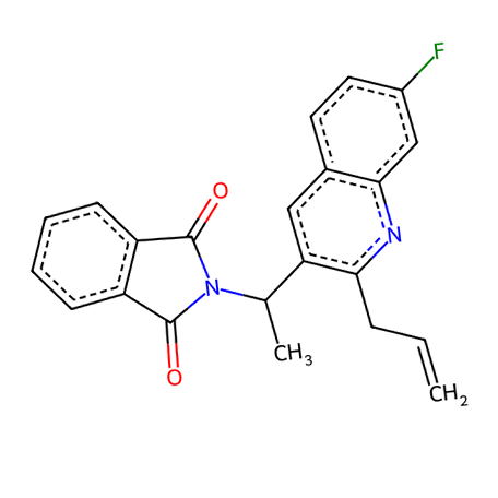 C=CCc1nc2cc(F)ccc2cc1C(C)N1C(=O)c2ccccc2C1=O